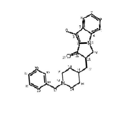 Cc1c2n(c3ccccc13)CC(CC1CCN(Cc3ccccc3)CC1)C2=O